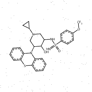 N=S(=O)(NC1CN(C2CC2)CC(N2c3ccccc3Sc3ccccc32)C1O)c1ccc(OC(F)(F)F)cc1